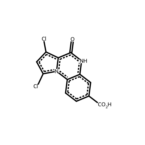 O=C(O)c1ccc2c(c1)[nH]c(=O)c1c(Cl)cc(Cl)n12